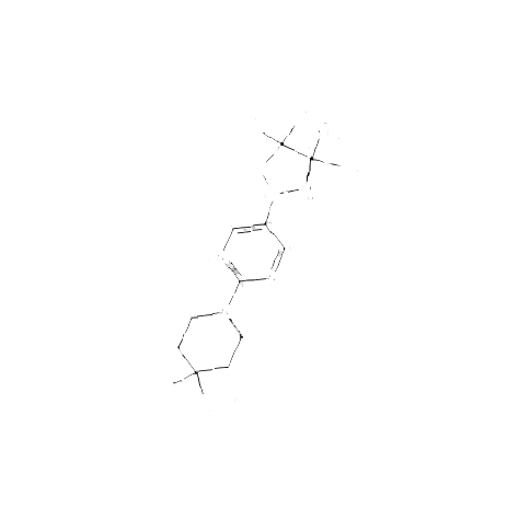 CCOC(=O)C1(F)CCN(c2ncc(B3OC(C)(C)C(C)(C)O3)cn2)CC1